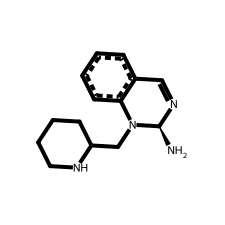 N[C@@H]1N=Cc2ccccc2N1CC1CCCCN1